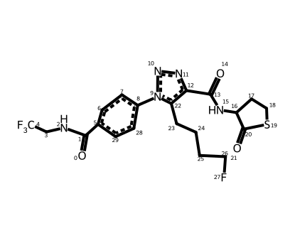 O=C(NCC(F)(F)F)c1ccc(-n2nnc(C(=O)NC3CCSC3=O)c2CCCCF)cc1